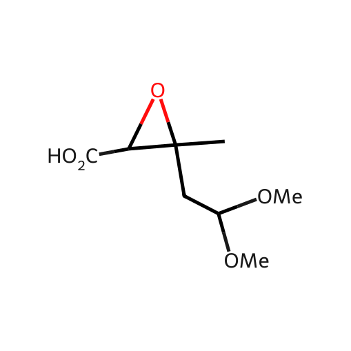 COC(CC1(C)OC1C(=O)O)OC